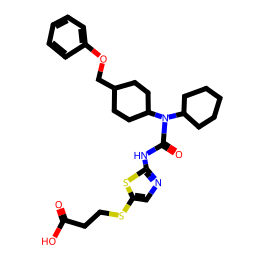 O=C(O)CCSc1cnc(NC(=O)N(C2CCCCC2)C2CCC(COc3ccccc3)CC2)s1